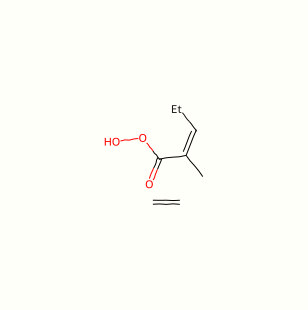 C=C.CCC=C(C)C(=O)OO